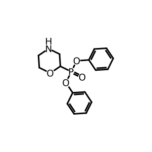 O=P(Oc1ccccc1)(Oc1ccccc1)C1CNCCO1